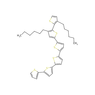 CCCCCCc1ccsc1-c1sc(-c2ccc(-c3ccc(-c4ccc(-c5cccs5)s4)s3)s2)cc1CCCCCC